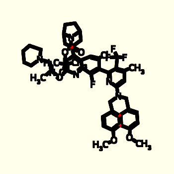 COc1ccc(CN(Cc2ccc(OC)cc2)c2cc(C)c(C(F)(F)F)c(-c3c(Cl)cc4c(N5CC6CCC(C5)N6C(=O)OC(C)(C)C)nc(OC(C)CN5CCCCC5)nc4c3F)n2)cc1